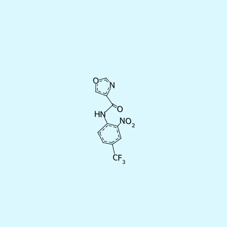 O=C(Nc1ccc(C(F)(F)F)cc1[N+](=O)[O-])c1cocn1